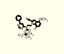 COc1ccc(F)c2c1cc(C#N)n2CCN(C(=O)OC(C)(C)C)c1cc(-c2cc[c]cc2)ncn1